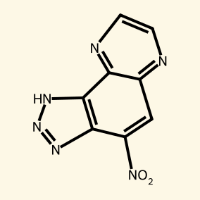 O=[N+]([O-])c1cc2nccnc2c2[nH]nnc12